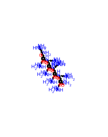 N=C(N)NCCC[C@@H](N)C(=O)Cc1ccc(OCCNC(=N)N)c(C(=O)N[C@H](CCCNC(=N)N)C(=O)Cc2ccc(OCCNC(=N)N)c(C(=O)N[C@H](CCCNC(=N)N)C(=O)Cc3ccc(OCCNC(=N)N)c(C(=O)N[C@H](CCCNC(=N)N)C(=O)Cc4ccc(OCCNC(=N)N)c(C(N)=O)c4)c3)c2)c1